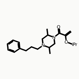 C=C(OC(C)C)C(=O)N1CC(C)N(CCCc2ccccc2)CC1C